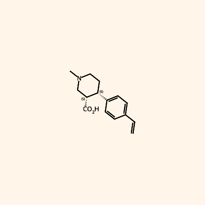 C=Cc1ccc([C@H]2CCN(C)C[C@H]2C(=O)O)cc1